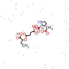 CC(=O)O.CCC(OC(=O)CCC(=O)O)C(=O)O.O=C(O)[C@@H]1CCCN1